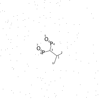 C[C](C)C(P=O)P=O